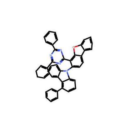 C1=CC(c2nc(-c3ccccc3)nc(-c3c(-n4c5ccccc5c5c(-c6ccccc6)cccc54)ccc4c3oc3ccccc34)n2)=CCC1